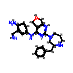 N=Cc1cc(Nc2nc(N3CCCNC(Cc4ccccc4)C3)nc3c2COC3)ccc1N